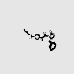 CCCCOC(=O)N1CCC([C@H](C)C(=O)N2C(=O)OC[C@@H]2Cc2ccccc2)CC1